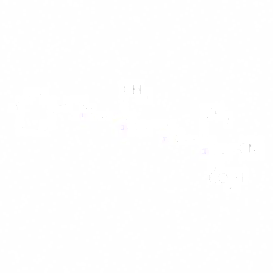 CC(/C=C/C=C(C)/C=C/C1CCCC1)=C(\C#N)C(=O)O